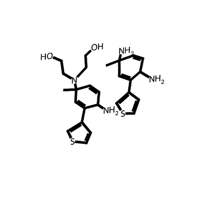 CC1(N(CCO)CCO)C=CC(N)C(c2ccsc2)=C1.CC1(N)C=CC(N)C(c2ccsc2)=C1